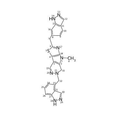 Cn1c2c(c3sc(Cc4ccc5cn[nH]c5c4)nc31)C=NN(Cc1cccc3[nH]ncc13)C2